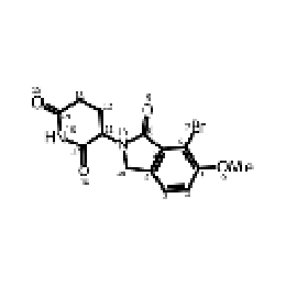 COc1ccc2c(c1Br)C(=O)N(C1CCC(=O)NC1=O)C2